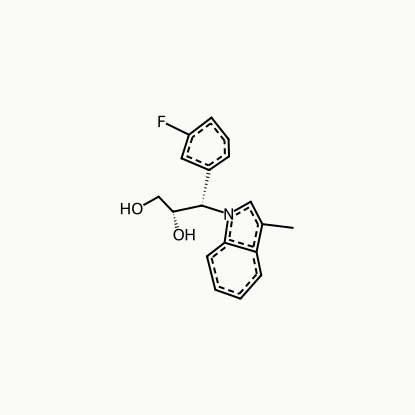 Cc1cn([C@@H](c2cccc(F)c2)[C@H](O)CO)c2ccccc12